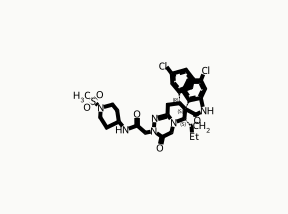 C=C(CC)[C@@H]1N2CC(=O)N(CC(=O)NC3CCN(S(C)(=O)=O)CC3)N=C2C[C@H](c2cccc(Cl)c2)[C@@]12C(=O)Nc1cc(Cl)ccc12